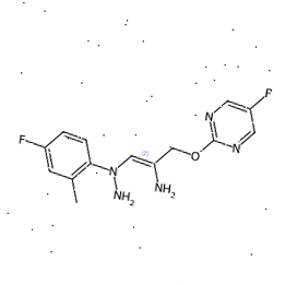 Cc1cc(F)ccc1N(N)/C=C(\N)COc1ncc(F)cn1